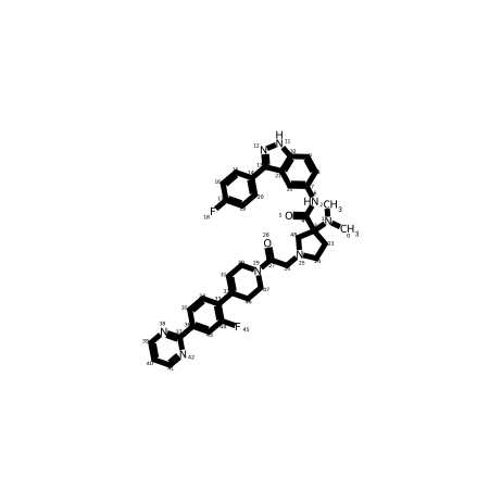 CN(C)C1(C(=O)Nc2ccc3[nH]nc(-c4ccc(F)cc4)c3c2)CCN(CC(=O)N2CC=C(c3ccc(-c4ncccn4)cc3F)CC2)C1